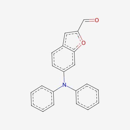 O=Cc1cc2ccc(N(c3ccccc3)c3ccccc3)cc2o1